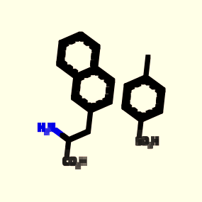 Cc1ccc(S(=O)(=O)O)cc1.NC(Cc1ccc2ccccc2c1)C(=O)O